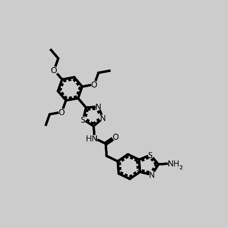 CCOc1cc(OCC)c(-c2nnc(NC(=O)Cc3ccc4nc(N)sc4c3)s2)c(OCC)c1